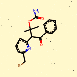 CC(C)(OC(N)=O)C(C(=O)c1ccccc1)c1cccc(CBr)n1